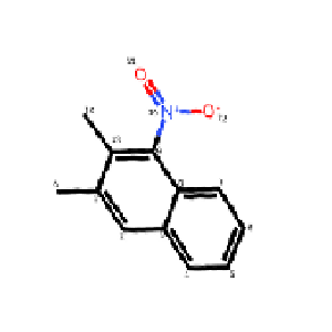 Cc1cc2ccccc2c([N+](=O)[O-])c1C